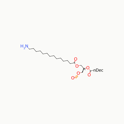 CCCCCCCCCCC(=O)O[C@@H](COP=O)COC(=O)CCCCCCCCCCCCCN